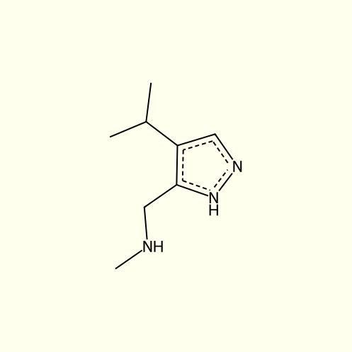 CNCc1[nH]ncc1C(C)C